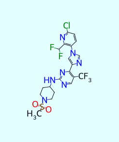 CS(=O)(=O)N1CCC(Nc2ncc(C(F)(F)F)c(-c3cn(-c4ccc(Cl)nc4C(F)F)cn3)n2)CC1